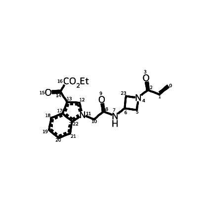 C=CC(=O)N1CC(NC(=O)Cn2cc(C(=O)C(=O)OCC)c3ccccc32)C1